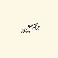 CC1=CC2(OC(C)C(C)O2)C2CC2(C)C1(O)C#Cc1cn(C)c(=O)n(C)c1=O